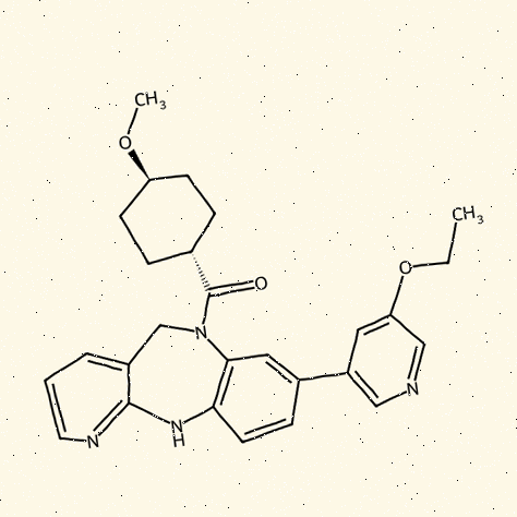 CCOc1cncc(-c2ccc3c(c2)N(C(=O)[C@H]2CC[C@H](OC)CC2)Cc2cccnc2N3)c1